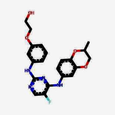 CC1COc2cc(Nc3nc(Nc4cccc(OCCO)c4)ncc3F)ccc2O1